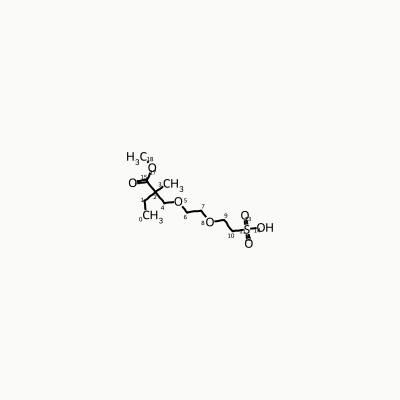 CCC(C)(COCCOCCS(=O)(=O)O)C(=O)OC